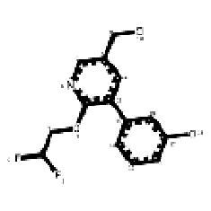 FC(F)COc1ncc(CCl)cc1-c1cccc(Cl)c1